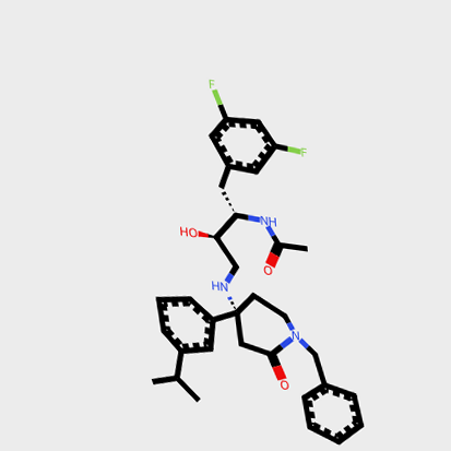 CC(=O)N[C@@H](Cc1cc(F)cc(F)c1)[C@H](O)CN[C@]1(c2cccc(C(C)C)c2)CCN(Cc2ccccc2)C(=O)C1